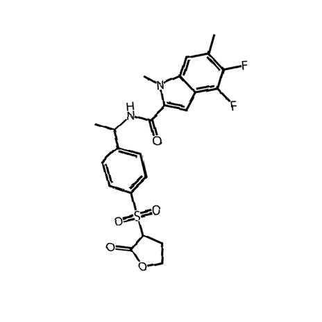 Cc1cc2c(cc(C(=O)NC(C)c3ccc(S(=O)(=O)C4CCOC4=O)cc3)n2C)c(F)c1F